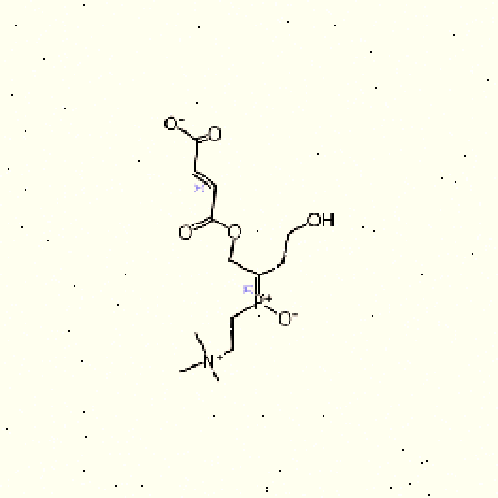 C[N+](C)(C)CC/[P+]([O-])=C(/CCO)COC(=O)/C=C/C(=O)[O-]